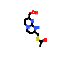 CC(=O)SC[C@H]1CCN2CC[C@H](CO)N=C2N1